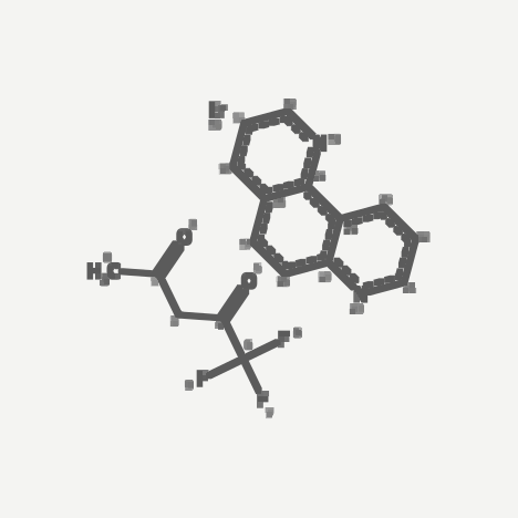 CC(=O)CC(=O)C(F)(F)F.[Er].c1cnc2c(c1)ccc1ncccc12